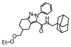 CCOOCC1CCc2nn(-c3ccccc3)c(C(=O)NCC34CC5CC(CC(C5)C3)C4)c2C1